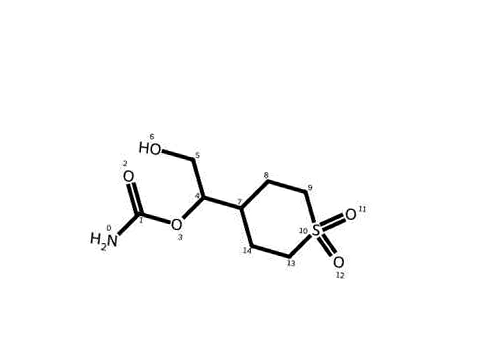 NC(=O)OC(CO)C1CCS(=O)(=O)CC1